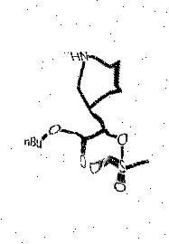 CCCCOC(=O)C(OS(C)(=O)=O)C1CCNC1